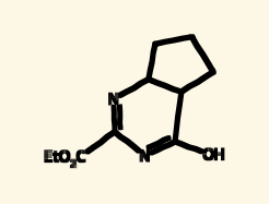 CCOC(=O)C1=NC2CCCC2C(O)=N1